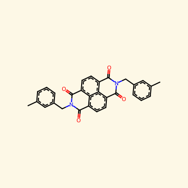 Cc1cccc(CN2C(=O)c3ccc4c5c(ccc(c35)C2=O)C(=O)N(Cc2cccc(C)c2)C4=O)c1